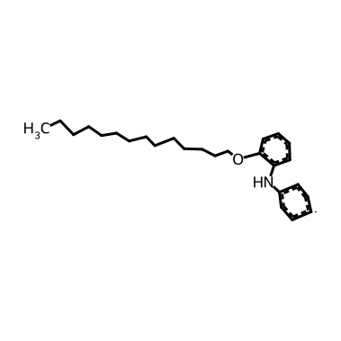 CCCCCCCCCCCCCCOc1ccccc1Nc1cc[c]cc1